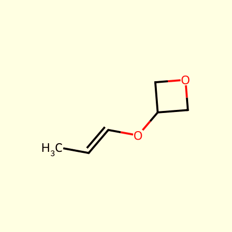 CC=COC1COC1